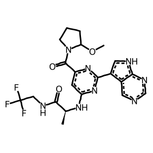 COC1CCCN1C(=O)c1cc(N[C@@H](C)C(=O)NCC(F)(F)F)nc(-c2c[nH]c3ncncc23)n1